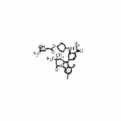 CN(C)CCC(=O)O[C@H]1CC[C@H](Nc2cc(-c3c4n(c5cc(F)cc(F)c35)C(=O)CC(C)(C)C4)ccc2C(N)=O)CC1